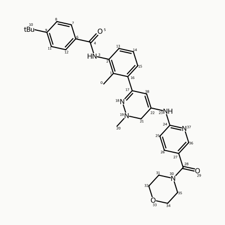 Cc1c(NC(=O)c2ccc(C(C)(C)C)cc2)cccc1C1=NN(C)CC(Nc2ccc(C(=O)N3CCOCC3)cn2)=C1